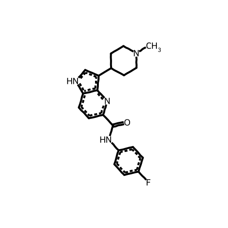 CN1CCC(c2c[nH]c3ccc(C(=O)Nc4ccc(F)cc4)nc23)CC1